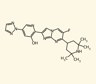 CC1(C)CC(c2nc3nc(-c4ncc(-n5nccn5)cc4O)cn3cc2F)CC(C)(C)N1